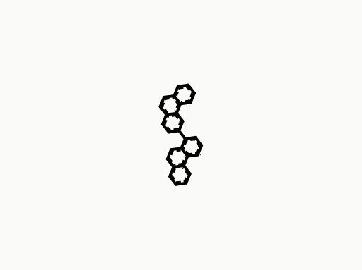 [c]1ccc(-c2ccc3ccc4ccccc4c3c2)c2ccc3ccccc3c12